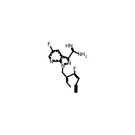 C#C/C=C(F)\C(=C/C)Cn1nc(C(=N)N)c2cc(F)cnc21